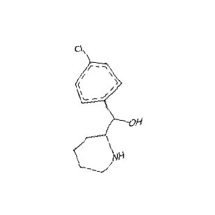 OC(c1ccc(Cl)cc1)C1CCCCN1